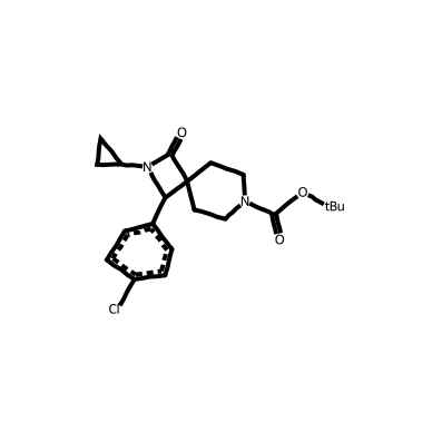 CC(C)(C)OC(=O)N1CCC2(CC1)C(=O)N(C1CC1)C2c1ccc(Cl)cc1